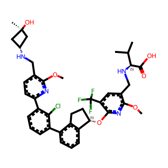 COc1nc(-c2cccc(-c3cccc4c3CC[C@@H]4Oc3nc(OC)c(CN[C@H](C(=O)O)C(C)C)cc3C(F)(F)F)c2Cl)ccc1CN[C@H]1C[C@](C)(O)C1